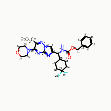 CCOC(=O)c1nn2cc([C@@H](NC(=O)OCc3ccccc3)C3CCC(F)(F)CC3)nc2nc1N1CCOCC1